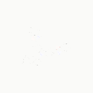 CC1(C)c2ccccc2-c2cccc(-n3c4ccc(-c5nc6ccccc6o5)cc4c4cc(-c5nc6ccccc6o5)ccc43)c21